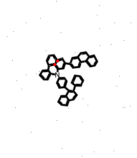 c1ccc(-c2ccccc2N(c2ccc(-c3c(-c4ccccc4)ccc4ccccc34)cc2)c2cccc(-c3ccc4c(ccc5ccccc54)c3)c2)cc1